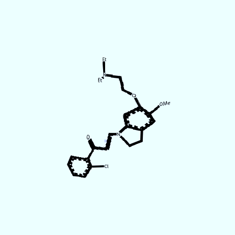 CCN(CC)CCOc1cc2c(cc1OC)CCN2/C=C/C(=O)c1ccccc1Cl